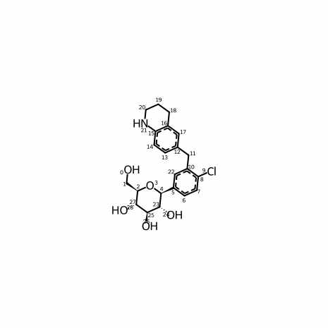 OC[C@H]1O[C@@H](c2ccc(Cl)c(Cc3ccc4c(c3)CCCN4)c2)[C@H](O)[C@@H](O)[C@@H]1O